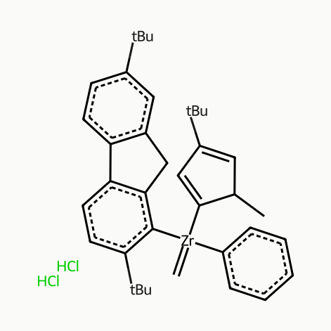 Cl.Cl.[CH2]=[Zr]([C]1=CC(C(C)(C)C)=CC1C)([c]1ccccc1)[c]1c(C(C)(C)C)ccc2c1Cc1cc(C(C)(C)C)ccc1-2